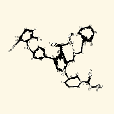 CC(C)(C)NC(=O)c1c(-c2ccc(Oc3c(F)cccc3F)cc2)cn([C@@H]2CCCN(C(=O)OC(C)(C)C)C2)c1COCc1ccccc1